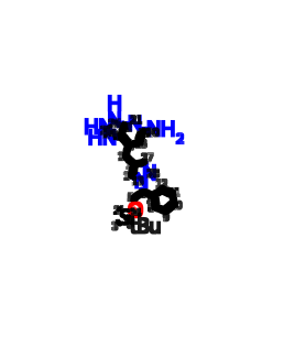 CC(C)(C)[Si](C)(C)OCC(c1ccccc1)n1cc(Cc2cc(N)nc3c2NNN3)cn1